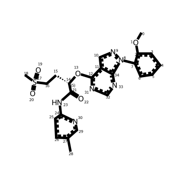 COc1ccccc1-n1ncc2c(O[C@@H](CCS(C)(=O)=O)C(=O)Nc3ccc(C)cn3)ncnc21